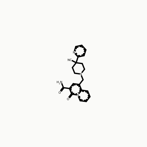 N#CC1(c2ccccn2)CCN(Cc2cc(C(N)=O)c(=O)n3ccccc23)CC1